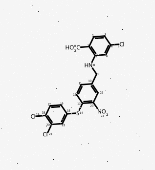 O=C(O)c1ccc(Cl)cc1NCc1ccc(Sc2ccc(Cl)c(Cl)c2)c([N+](=O)[O-])c1